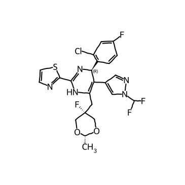 C[C@H]1OC[C@](F)(CC2=C(c3cnn(C(F)F)c3)[C@H](c3ccc(F)cc3Cl)N=C(c3nccs3)N2)CO1